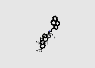 C[C@]12CC[C@H]3[C@@H](CC=C4C[C@@H](O)CC[C@@]43C)[C@@H]1CC[C@@H]2C(=O)/C=C/Cc1ccc2ccc3cccc4ccc1c2c34